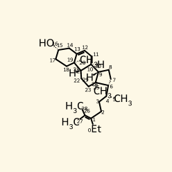 CCC(CC[C@@H](C)[C@H]1CC[C@H]2[C@@H]3CC=C4C[C@@H](O)CC[C@]4(C)[C@H]3CC[C@]12C)=C(C)C